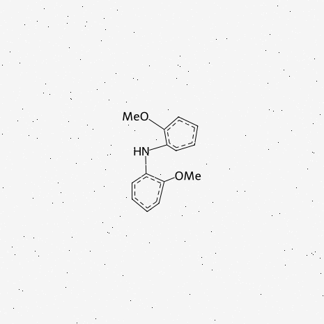 COc1ccccc1Nc1ccccc1OC